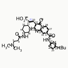 CN(C)CCC(=O)NC1CCCN(c2nc3cc(C(=O)Nc4nc(C(C)(C)C)cs4)ccn3c(=O)c2/C=C/C(=O)O)C1